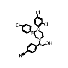 N#Cc1ccc([C@H](CO)N2CCN(c3ccc(Cl)cc3Cl)[C@H](c3ccc(Cl)cc3)C2)cc1